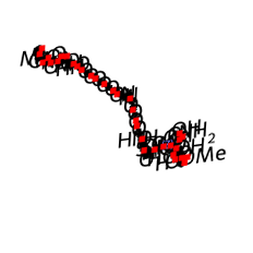 COc1cccc2c1C(=O)c1c(O)c3c(c(O)c1C2=O)C[C@@](O)(/C(CO)=N\NC(=O)CCCN1C(=O)CC(SCCC(=O)NCCOCCOCCOCCOCc2cn(CCOCCOCCOCCOCCOCCOCC(=O)NCc4ccc(-c5ccc(OC)c6c(C(=O)C(=O)N7CCN(C(=O)c8ccccc8)CC7)c[nH]c56)o4)nn2)C1=O)C[C@@H]3O[C@H]1C[C@H](N)[C@H](O)[C@H](C)O1